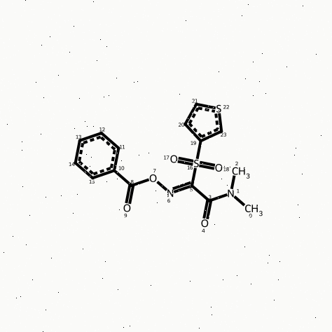 CN(C)C(=O)C(=NOC(=O)c1ccccc1)S(=O)(=O)c1ccsc1